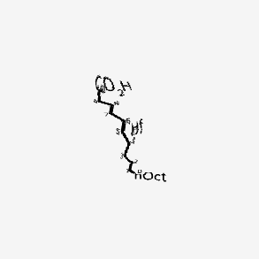 CCCCCCCCCCCCCCCCCC(=O)O.[Hf]